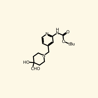 CC(C)(C)OC(=O)Nc1cc(CN2CCC(O)(C=O)CC2)ccn1